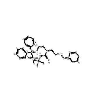 C[C@H](CN(CCOCc1ccccc1)C(=O)OC(C)(C)C)O[Si](c1ccccc1)(c1ccccc1)C(C)(C)C